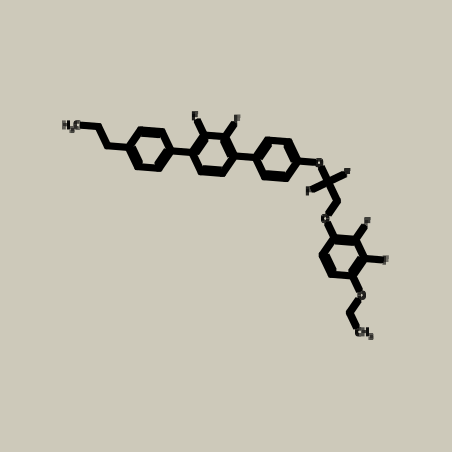 CCCc1ccc(-c2ccc(-c3ccc(OC(F)(F)COc4ccc(OCC)c(F)c4F)cc3)c(F)c2F)cc1